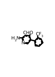 Nc1cc(C=O)c(-c2ccccc2C(F)(F)F)cn1